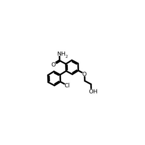 NC(=O)c1ccc(OCCO)cc1-c1ccccc1Cl